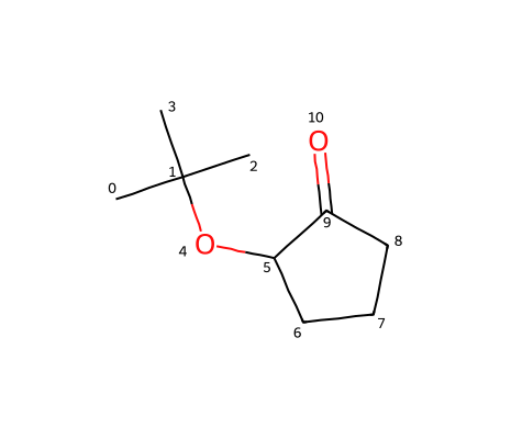 CC(C)(C)OC1CCCC1=O